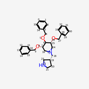 c1ccc(COC2[C@@H](OCc3ccccc3)CN(C[C@@H]3CCNC3)C[C@H]2OCc2ccccc2)cc1